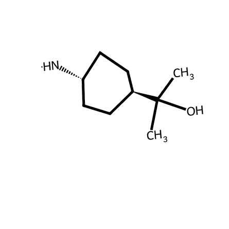 CC(C)(O)[C@H]1CC[C@H]([NH])CC1